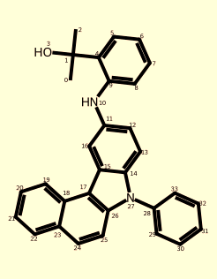 CC(C)(O)c1ccccc1Nc1ccc2c(c1)c1c3ccccc3ccc1n2-c1ccccc1